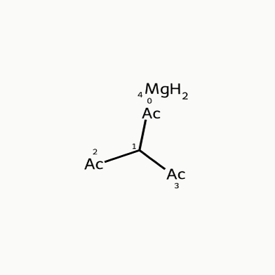 CC(=O)C(C(C)=O)C(C)=O.[MgH2]